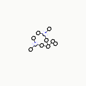 c1ccc(-c2cc(-c3ccc(-c4cccc(-c5cccc6ccccc56)c4-c4ccc(-c5cc(-c6ccccc6)nc(-c6ccccc6)n5)cc4)cc3)nc(-c3ccccc3)n2)cc1